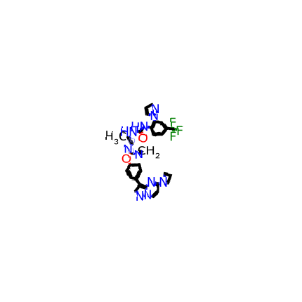 C=N/C(=N\C=C(/C)NC(=O)Nc1ccc(C(F)(F)F)cc1-n1cccn1)Oc1ccc(-c2cnn3ccc(N4CCC4)nc23)cc1